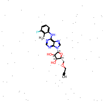 C#CCOC[C@H]1O[C@@H](n2cnc3c(Nc4cccc(F)c4C)ncnc32)[C@H](O)[C@@H]1O